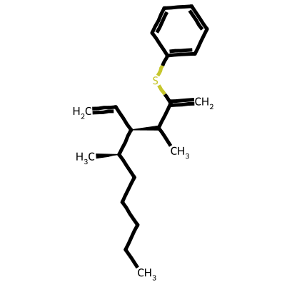 C=C[C@@H](C(C)C(=C)Sc1ccccc1)[C@H](C)CCCCC